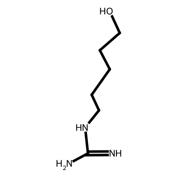 N=C(N)NCCCCCO